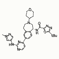 Cn1cc(Nc2nccc(-c3ccc4c(c3)CCN(C3CCOCC3)C[C@@H]4NC(=O)c3nnc(C(C)(C)C)o3)n2)cn1